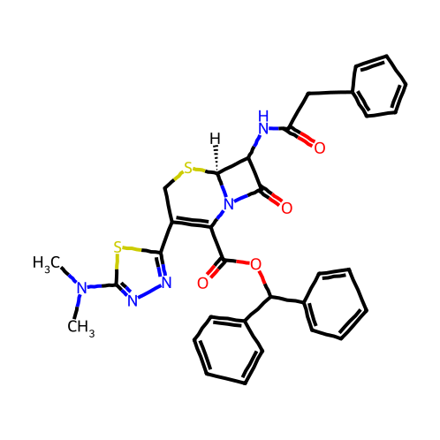 CN(C)c1nnc(C2=C(C(=O)OC(c3ccccc3)c3ccccc3)N3C(=O)C(NC(=O)Cc4ccccc4)[C@@H]3SC2)s1